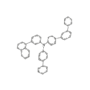 c1ccc(-c2ccc(N(c3ccc(-c4cccc(-c5ccccc5)c4)cc3)c3cccc(-c4cccc5ccccc45)c3)cc2)cc1